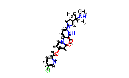 CNC(C)(C)C1CCN(c2ccc(-n3ccc(OCc4ccc(Cl)cn4)cc3=O)c(=O)[nH]2)C1